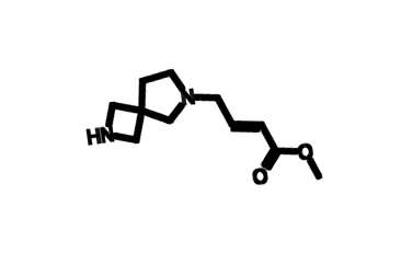 COC(=O)/C=C/CN1CCC2(CNC2)C1